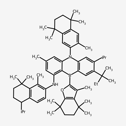 CCC(C)(C)c1cc2c(cc1C(C)C)N(c1cc3c(cc1C)C(C)(C)CCC3(C)C)c1cc(C)cc(Nc3ccc4c(c3C)C(C)(C)CCC4C(C)C)c1B2c1oc2c(c1C)C(C)(C)CCC2(C)C